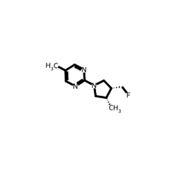 Cc1cnc(N2C[C@H](CF)[C@H](C)C2)nc1